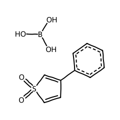 O=S1(=O)C=CC(c2ccccc2)=C1.OB(O)O